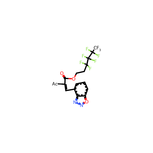 CC(=O)C(=Cc1cccc2onnc12)C(=O)OCCC(F)(F)C(F)(F)C(F)(F)C(F)(F)F